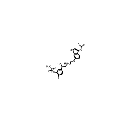 CS(=O)(=O)Nc1cc(C(O)CNCCOc2ccc3c(OC(F)F)n[nH]c3c2)ccc1F